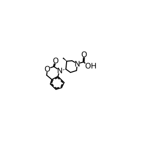 C[C@H]1CN(C(=O)O)CC[C@@H]1N1C(=O)OCc2ccccc21